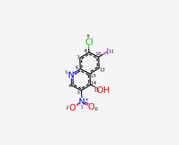 O=[N+]([O-])c1cnc2cc(Cl)c(I)cc2c1O